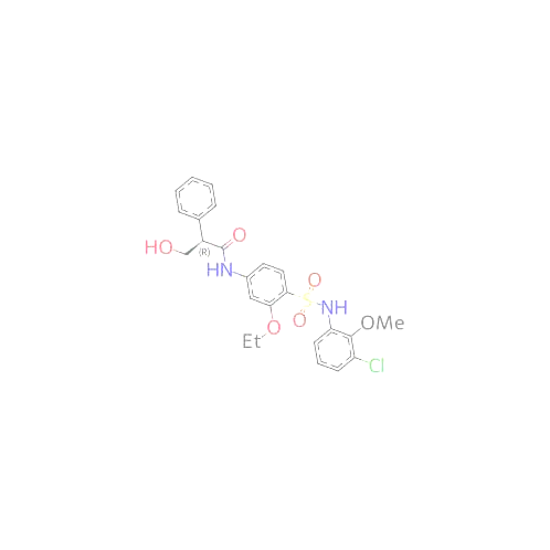 CCOc1cc(NC(=O)[C@@H](CO)c2ccccc2)ccc1S(=O)(=O)Nc1cccc(Cl)c1OC